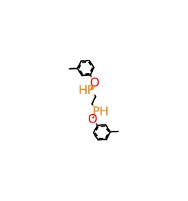 Cc1cccc(OPCCPOc2cccc(C)c2)c1